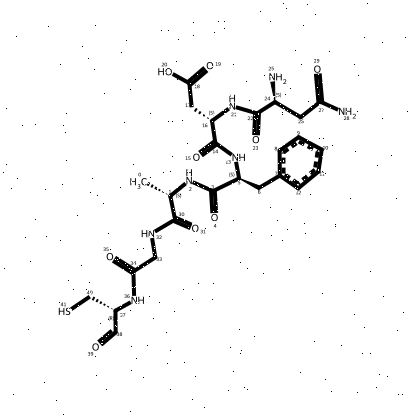 C[C@H](NC(=O)[C@H](Cc1ccccc1)NC(=O)[C@H](CC(=O)O)NC(=O)[C@@H](N)CC(N)=O)C(=O)NCC(=O)N[C@H]([C]=O)CS